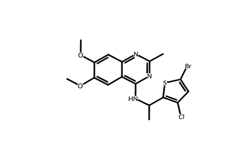 COc1cc2nc(C)nc(NC(C)c3sc(Br)cc3Cl)c2cc1OC